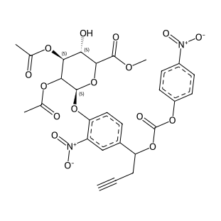 C#CCC(OC(=O)Oc1ccc([N+](=O)[O-])cc1)c1ccc(O[C@@H]2OC(C(=O)OC)[C@@H](O)[C@H](OC(C)=O)C2OC(C)=O)c([N+](=O)[O-])c1